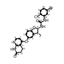 C[C@H]1c2cc(Oc3ccnc4c3CCC(=O)N4)ccc2O[C@H]1NC(=O)Nc1cc(Br)ccc1Cl